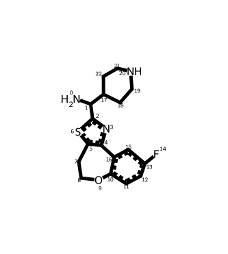 NC(c1nc2c(s1)CCOc1ccc(F)cc1-2)C1CCNCC1